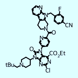 CCOC(=O)c1nc(Cl)nc2c1n(-c1ccc(C(=O)N3CCc4c(n(Cc5ccc(C#N)cc5F)c5ncccc45)C3)nc1)c(=O)n2C1CCN(CC(C)(C)C)CC1